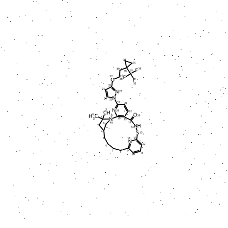 CC1(C)CC2CCCCc3cccc(n3)SNC(=O)c3ccc(-n4ccc(OCCC5(C(F)(F)F)CC5)n4)nc3N1C2